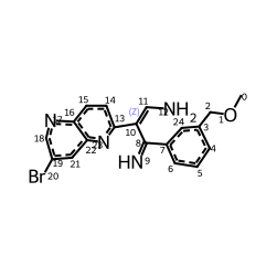 COCc1cccc(C(=N)/C(=C\N)c2ccc3ncc(Br)cc3n2)c1